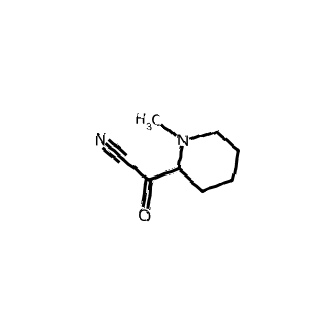 CN1CCCCC1C(=O)C#N